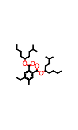 CCCCC(CCC(C)C)OC(=O)c1cc(C)c(CC)cc1C(=O)OC(CCCC)CCC(C)C